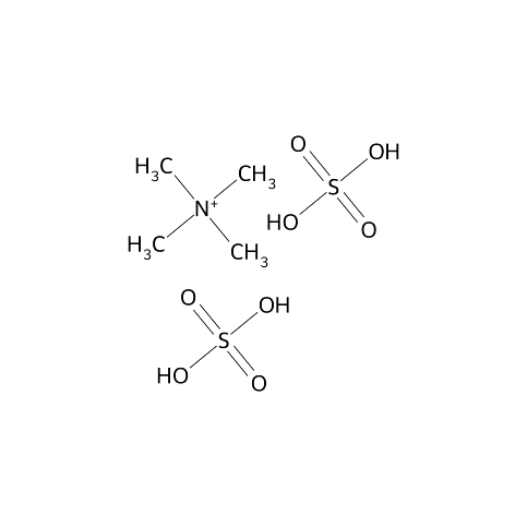 C[N+](C)(C)C.O=S(=O)(O)O.O=S(=O)(O)O